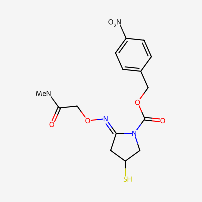 CNC(=O)CON=C1CC(S)CN1C(=O)OCc1ccc([N+](=O)[O-])cc1